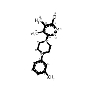 Cc1cccc(N2CCN(c3nnc(Cl)c(C)c3C)CC2)c1